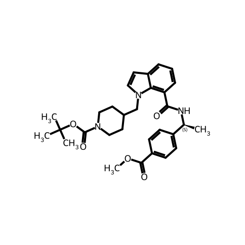 COC(=O)c1ccc([C@H](C)NC(=O)c2cccc3ccn(CC4CCN(C(=O)OC(C)(C)C)CC4)c23)cc1